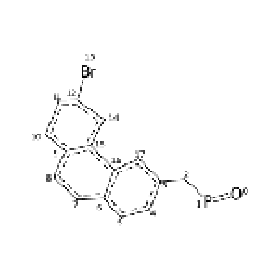 O=PCc1ccc2ccc3ccc(Br)cc3c2c1